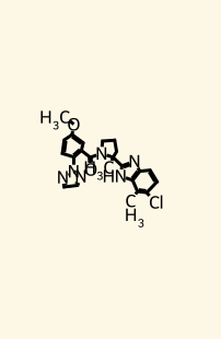 COc1ccc(-n2nccn2)c(C(=O)N2CCCC2(C)c2nc3ccc(Cl)c(C)c3[nH]2)c1